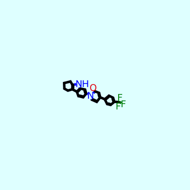 O=c1cc(-c2ccc(C(F)(F)F)cc2)ccn1-c1ccc2c3c([nH]c2c1)CCCC3